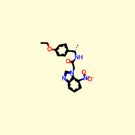 CCOc1ccc([C@H](C)NC(=O)Cn2cnc3cccc([N+](=O)[O-])c32)cc1